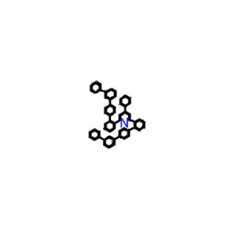 c1ccc(-c2cccc(-c3ccc(-c4ccccc4-c4cc(-c5ccccc5)cc(-c5ccccc5-c5ccc(-c6cccc(-c7ccccc7)c6)cc5)n4)cc3)c2)cc1